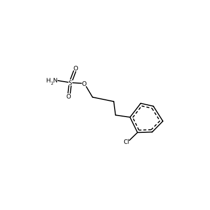 NS(=O)(=O)OCCCc1ccccc1Cl